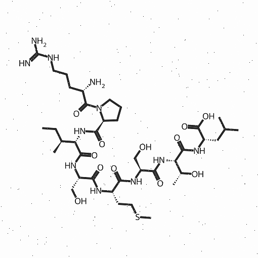 CC[C@H](C)[C@H](NC(=O)[C@@H]1CCCN1C(=O)[C@@H](N)CCCNC(=N)N)C(=O)N[C@@H](CO)C(=O)N[C@@H](CCSC)C(=O)N[C@@H](CO)C(=O)N[C@H](C(=O)N[C@@H](CC(C)C)C(=O)O)[C@@H](C)O